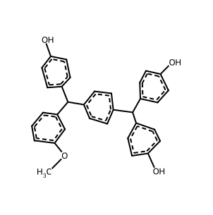 COc1cccc(C(c2ccc(O)cc2)c2ccc(C(c3ccc(O)cc3)c3ccc(O)cc3)cc2)c1